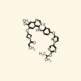 C=CC(=O)N1CC(Oc2cc3c(Nc4ccc(Oc5ccn(-c6cnc(OC(C)C)nc6)n5)cc4F)ncnc3cc2OC)C1